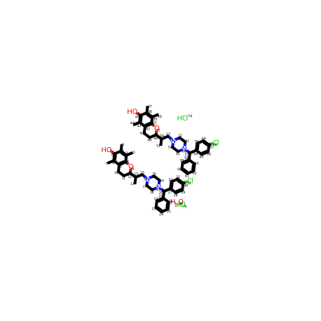 Cc1c(C)c2c(c(C)c1O)CCC(C(C)CN1CCN(C(c3ccccc3)c3ccc(Cl)cc3)CC1)O2.Cc1c(C)c2c(c(C)c1O)CCC(C(C)CN1CCN(C(c3ccccc3)c3ccc(Cl)cc3)CC1)O2.Cl.Cl.O